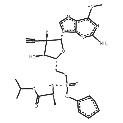 C#C[C@@]1(F)[C@H](O)[C@@H](CO[P@](=O)(N[C@@H](C)C(=O)OC(C)C)Oc2ccccc2)O[C@H]1n1cnc2c(NC)nc(N)nc21